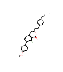 CCCc1ccc(CCC2Cc3ccc(-c4ccc(OCC)cc4)c(F)c3C(=O)O2)cc1